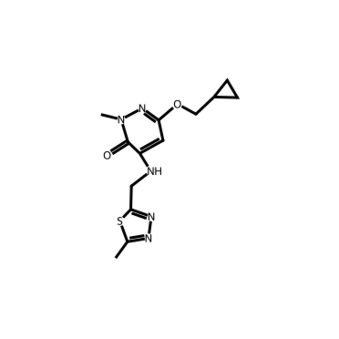 Cc1nnc(CNc2cc(OCC3CC3)nn(C)c2=O)s1